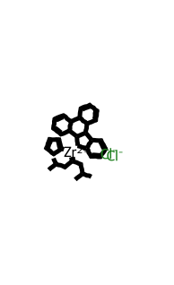 CC(C)C[C](CC(C)C)=[Zr+2]([C]1=CC=CC1)[CH]1C2C=CC=CC2C2C3C=CC=CC3C3C=CC=CC3C21.[Cl-].[Cl-]